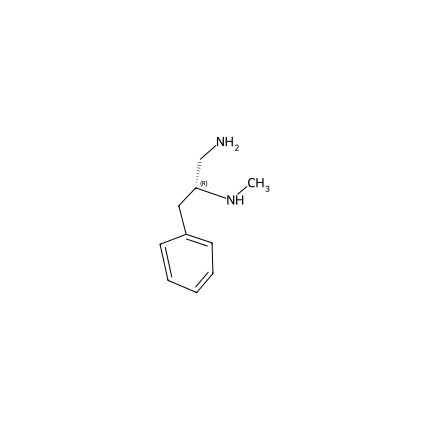 CN[C@@H](CN)Cc1ccccc1